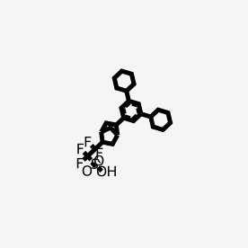 O=S(=O)(O)C(F)(F)C(F)(F)C1CC2CC1CC2c1cc(C2CCCCC2)cc(C2CCCCC2)c1